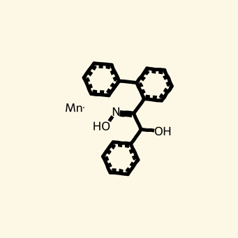 ON=C(c1ccccc1-c1ccccc1)C(O)c1ccccc1.[Mn]